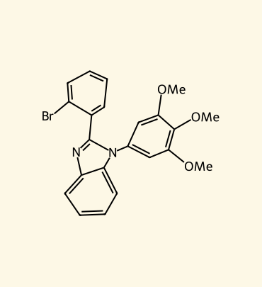 COc1cc(-n2c(-c3ccccc3Br)nc3ccccc32)cc(OC)c1OC